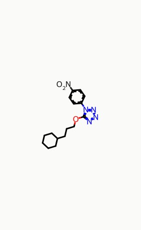 O=[N+]([O-])c1ccc(-n2nnnc2OCCCC2CCCCC2)cc1